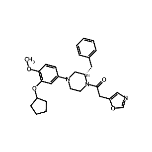 COc1ccc(N2CCN(C(=O)Cc3cnco3)[C@@H](Cc3ccccc3)C2)cc1OC1CCCC1